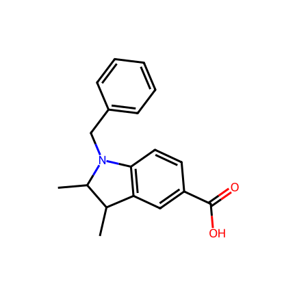 CC1c2cc(C(=O)O)ccc2N(Cc2ccccc2)C1C